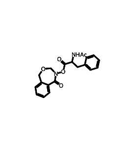 CC(=O)NC(Cc1ccccc1)C(=O)ON1COCc2ccccc2C1=O